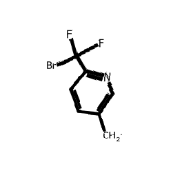 [CH2]c1ccc(C(F)(F)Br)nc1